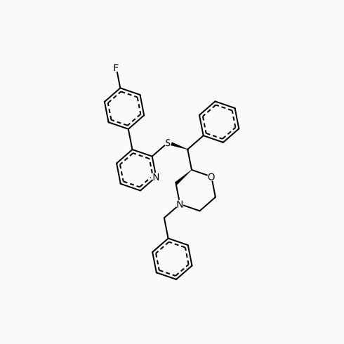 Fc1ccc(-c2cccnc2S[C@@H](c2ccccc2)[C@@H]2CN(Cc3ccccc3)CCO2)cc1